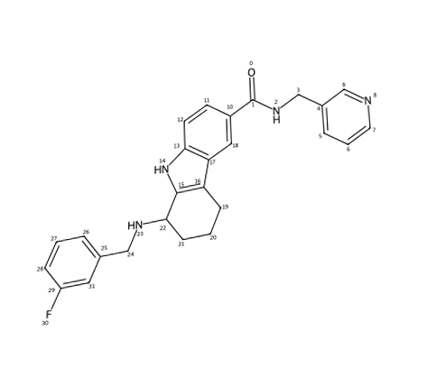 O=C(NCc1cccnc1)c1ccc2[nH]c3c(c2c1)CCCC3NCc1cccc(F)c1